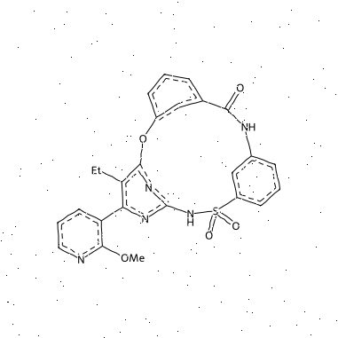 CCc1c2nc(nc1-c1cccnc1OC)NS(=O)(=O)c1cccc(c1)NC(=O)c1cccc(c1)O2